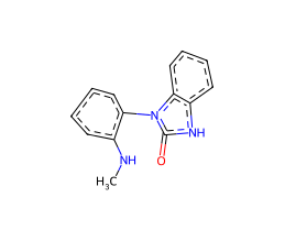 CNc1ccccc1-n1c(=O)[nH]c2ccccc21